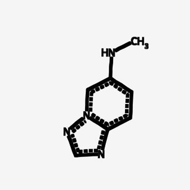 CNc1ccc2ncnn2c1